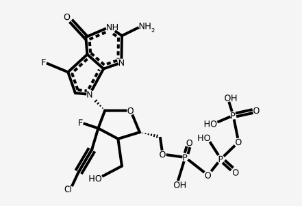 Nc1nc2c(c(F)cn2[C@@H]2O[C@H](COP(=O)(O)OP(=O)(O)OP(=O)(O)O)C(CO)C2(F)C#CCl)c(=O)[nH]1